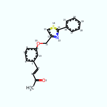 CC(=O)/C=C/c1cccc(OCc2csc(-c3ccccc3)n2)c1